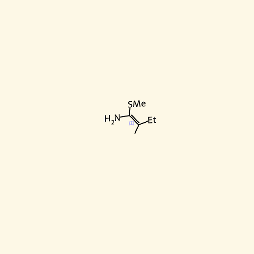 CC/C(C)=C(/N)SC